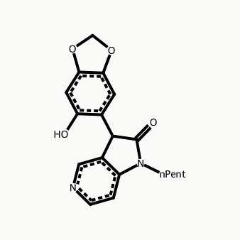 CCCCCN1C(=O)C(c2cc3c(cc2O)OCO3)c2cnccc21